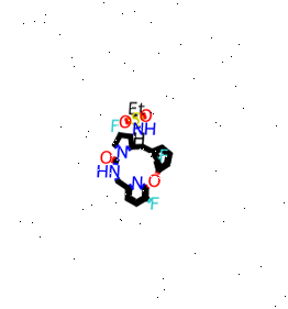 CCS(=O)(=O)N[C@H]1[C@@H](F)CN2C(=O)NCc3ccc(F)c(n3)Oc3cccc(c3F)C[C@@H]12